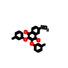 Cc1cccc(OC2=C(Oc3cccc(C)c3)C(=O)c3cc([N+](=O)[O-])ccc3C2=O)c1